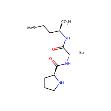 CC[C@H](C)[C@H](NC(=O)[C@@H]1CCCN1)C(=O)N[C@@H](CCSC)C(=O)O